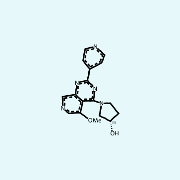 COc1cncc2nc(-c3ccncc3)nc(N3CC[C@H](O)C3)c12